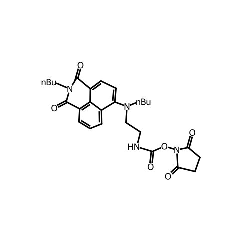 CCCCN1C(=O)c2cccc3c(N(CCCC)CCNC(=O)ON4C(=O)CCC4=O)ccc(c23)C1=O